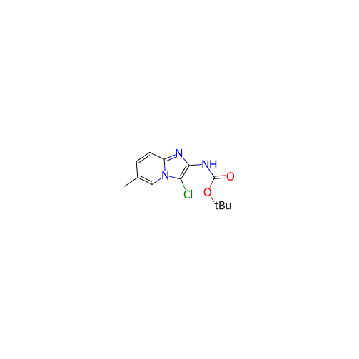 Cc1ccc2nc(NC(=O)OC(C)(C)C)c(Cl)n2c1